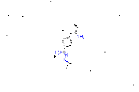 C=C(C)C(N)Cc1ccc(/C(=N/N=C(C)C)NCC)cc1